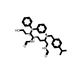 CC(C)c1ccc(CN(C)C(CC[C@@H](NC=O)[C@@H](CCO)N(c2ccccc2)c2ccccc2)CNC=O)cc1